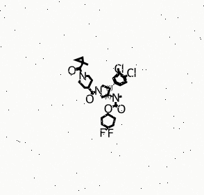 CN(C(=O)OC1CCC(F)(F)CC1)[C@H]1CN(C(=O)C2CCN(C(=O)C3(C)CC3)CC2)C[C@@H]1c1ccc(Cl)c(Cl)c1